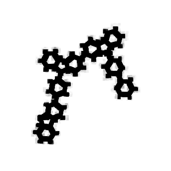 c1ccc(-c2ccc(-n3c4ccccc4c4ccc(-c5ccc6c(c5)c5ccccc5n6-c5ccc(-c6ccc7c(c6)oc6ccccc67)cc5)cc43)cc2)cc1